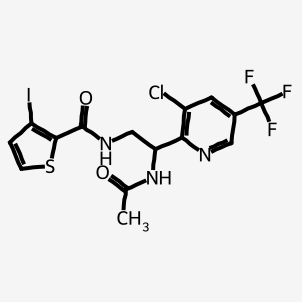 CC(=O)NC(CNC(=O)c1sccc1I)c1ncc(C(F)(F)F)cc1Cl